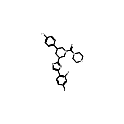 CCc1ccc(C2CC(c3nc(-c4ccc(F)cc4F)co3)CN(C(=O)N3CCOCC3)C2)cc1